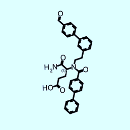 NC(=O)[C@H](CCC(=O)O)N(CCc1cccc(-c2ccc(C=O)cc2)c1)C(=O)c1ccc(-c2ccccc2)cc1